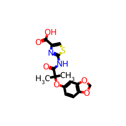 CC(C)(Oc1ccc2c(c1)OCO2)C(=O)Nc1nc(C(=O)O)cs1